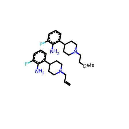 C=CCN1CCC(c2cccc(F)c2N)CC1.COCCN1CCC(c2cccc(F)c2N)CC1